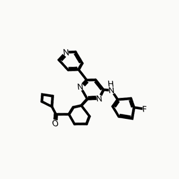 O=C(C1CCC1)C1CCCC(c2nc(Nc3cccc(F)c3)cc(-c3ccncc3)n2)C1